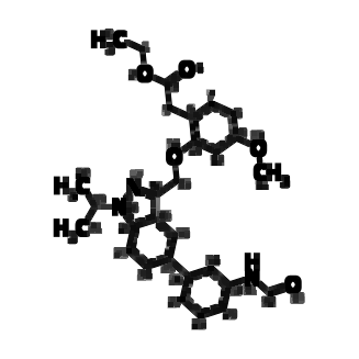 CCOC(=O)Cc1ccc(OC)cc1OCc1nn(C(C)C)c2ccc(-c3cccc(NC=O)c3)cc12